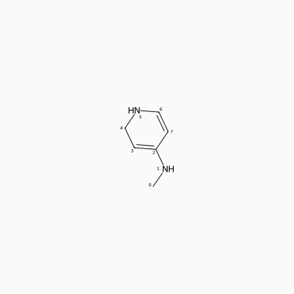 CNC1=CCNC=C1